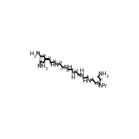 CCCN(CCN)CCNCCNCCNCCNCCNCCC=C(CCN)CCN